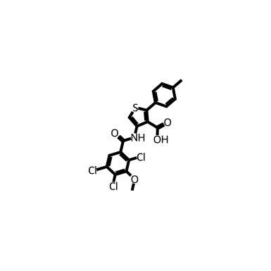 COc1c(Cl)c(Cl)cc(C(=O)Nc2csc(-c3ccc(C)cc3)c2C(=O)O)c1Cl